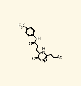 CC(=O)CCC(=O)NC(CCC(=O)Nc1ccc(C(F)(F)F)cc1)C(=O)C(C)C